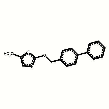 O=C(O)c1cnc(OCc2ccc(-c3ccccc3)cc2)s1